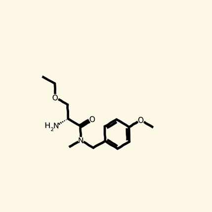 CCOC[C@@H](N)C(=O)N(C)Cc1ccc(OC)cc1